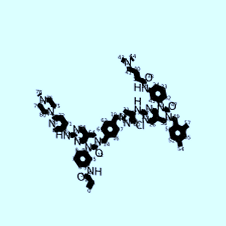 C=CC(=O)Nc1cccc(N2C(=O)N(Cc3ccc(Cn4cc(Nc5ncc6c(n5)N(c5cccc(NC(=O)/C=C/CN(C)C)c5)C(=O)N(Cc5ccc(C)cc5C)C6)c(Cl)n4)cc3)Cc3cnc(Nc4ccc(N5CCN(C)CC5)nc4)nc32)c1